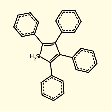 c1ccc(C2=C(c3ccccc3)C(c3ccccc3)=C(c3ccccc3)[SiH2]2)cc1